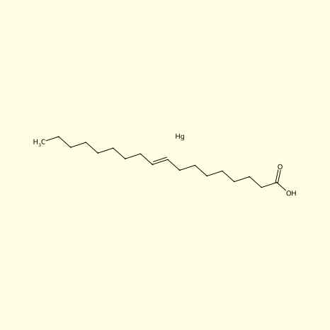 CCCCCCCCC=CCCCCCCCC(=O)O.[Hg]